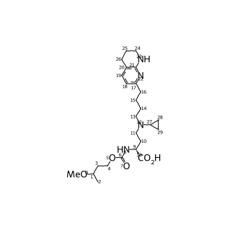 COC(C)CCOC(=O)N[C@@H](CCN(CCCCc1ccc2c(n1)NCCC2)C1CC1)C(=O)O